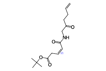 C=CCCC(=O)CNC(=O)/C=C\CC(=O)OC(C)(C)C